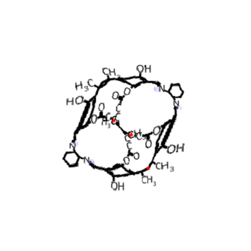 CC12CC(C)(C1)c1cc3cc(c1O)/C=N/C1CCCCC1/N=C/c1cc4cc(c1O)C1(C)CC(C)(C1)c1cc5cc(c1O)/C=N/C1CCCCC1/N=C/c1cc(cc2c1O)OC(=O)CCC(C)(CCC(=O)O3)C(C)(CCC(=O)O5)CCC(=O)O4